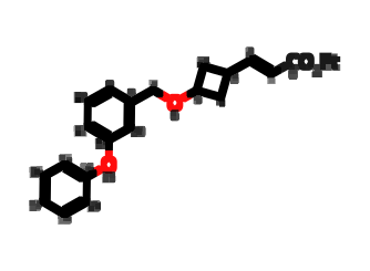 CCOC(=O)/C=C/C1CC(OCc2cccc(Oc3ccccc3)c2)C1